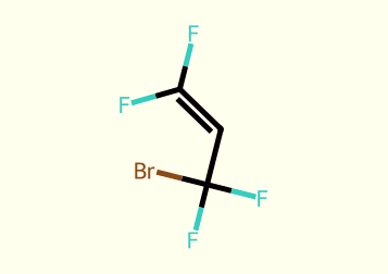 FC(F)=CC(F)(F)Br